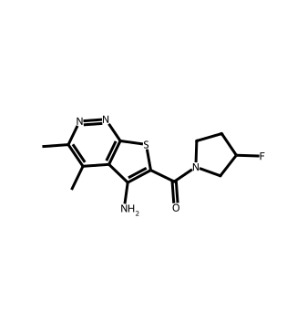 Cc1nnc2sc(C(=O)N3CCC(F)C3)c(N)c2c1C